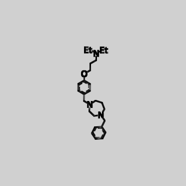 CCN(CC)CCCOc1ccc(CN2CCCN(Cc3ccccc3)CC2)cc1